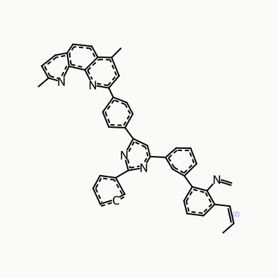 C=Nc1c(/C=C\C)cccc1-c1cccc(-c2cc(-c3ccc(-c4cc(C)c5ccc6ccc(C)nc6c5n4)cc3)nc(-c3ccccc3)n2)c1